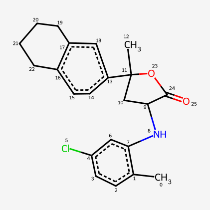 Cc1ccc(Cl)cc1NC1CC(C)(c2ccc3c(c2)CCCC3)OC1=O